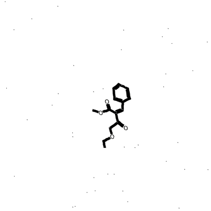 CCOCC(=O)C(=Cc1ccccc1)C(=O)OC